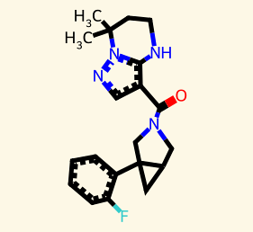 CC1(C)CCNc2c(C(=O)N3CC4CC4(c4ccccc4F)C3)cnn21